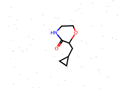 O=C1NCCOC1CC1CC1